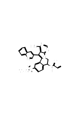 C=CC(=O)NC1Cn2c(c(-c3cnc4ccccc4c3)c3c(N)ncnc32)-c2cc(S(=O)(=O)NC)ccc21